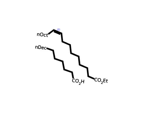 CCCCCCCC/C=C\CCCCCCCC(=O)OCC.CCCCCCCCCCCCCCCC(=O)O